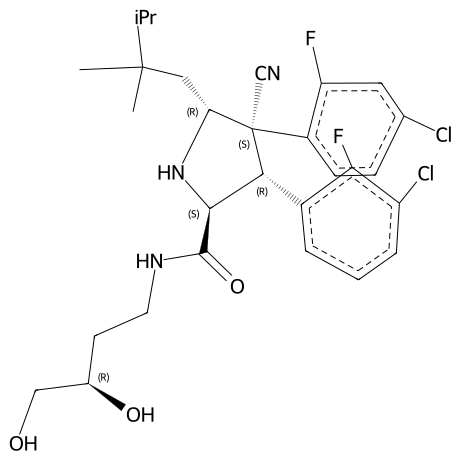 CC(C)C(C)(C)C[C@H]1N[C@H](C(=O)NCC[C@@H](O)CO)[C@@H](c2cccc(Cl)c2F)[C@]1(C#N)c1ccc(Cl)cc1F